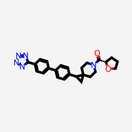 O=C([C@H]1CCCO1)N1CCC2(CC1)CC2c1ccc(-c2ccc(C3N=NN=N3)cc2)cc1